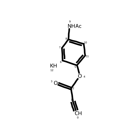 C#CC(=O)Oc1ccc(NC(C)=O)cc1.[KH]